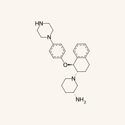 N[C@@H]1CCCN([C@H]2CCc3ccccc3[C@@H]2Oc2ccc(N3CCNCC3)cc2)C1